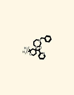 CC1(C)CC(C(=O)c2ccccn2)(N2CCCN(Cc3ccccc3)CC2)CCO1